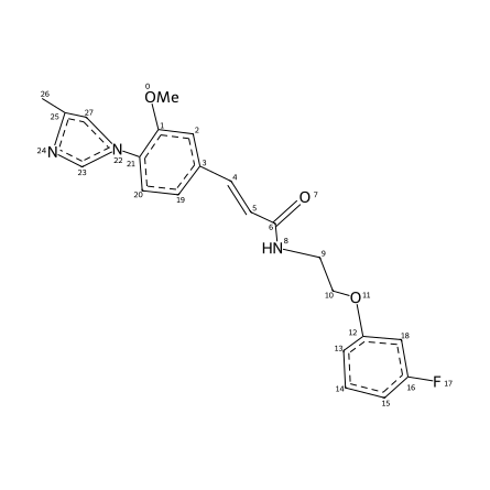 COc1cc(C=CC(=O)NCCOc2cccc(F)c2)ccc1-n1cnc(C)c1